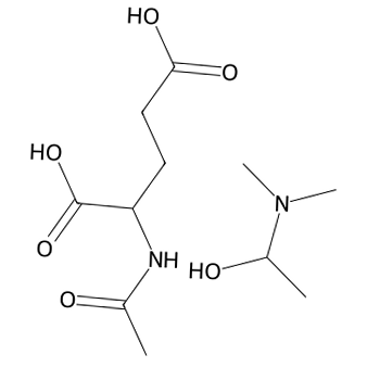 CC(=O)NC(CCC(=O)O)C(=O)O.CC(O)N(C)C